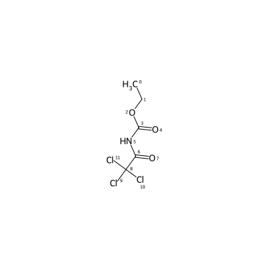 CCOC(=O)NC(=O)C(Cl)(Cl)Cl